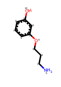 NCCCOc1cc[c]c(O)c1